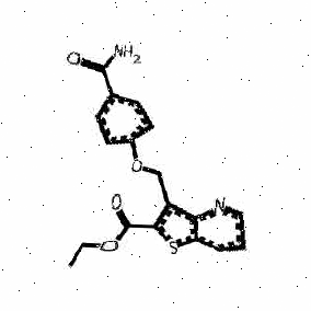 CCOC(=O)c1sc2cccnc2c1COc1ccc(C(N)=O)cc1